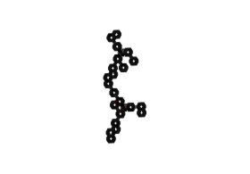 c1ccc(-c2cccc(N(c3ccc(-c4cccc5ccccc45)cc3)c3ccc(-c4ccc5c(ccc6c7cc(-c8ccc(-c9ccc(N(c%10ccc(-c%11cccc%12ccccc%11%12)cc%10)c%10ccc(-c%11ccc%12c(ccc%13c%14ccccc%14ccc%12%13)c%11)cc%10-c%10ccccc%10)cc9)cc8)ccc7ccc56)c4)c(-c4ccccc4)c3)c2)cc1